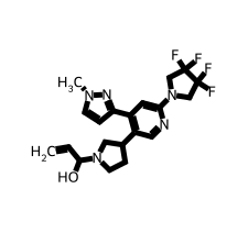 C=CC(O)N1CCC(c2cnc(N3CC(F)(F)C(F)(F)C3)cc2-c2ccn(C)n2)C1